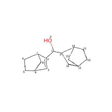 OC(C1=CC2CCC1C2)C1CC2CCC1C2